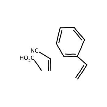 C=CC#N.C=Cc1ccccc1.CC(=O)O